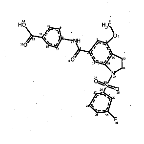 COc1cc(C(=O)Nc2ccc(C(=O)O)cc2)cc2c1CCN2S(=O)(=O)c1cccc(F)c1